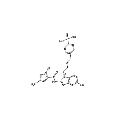 CCn1nc(C)cc1C(=O)NC1=Nc2cc(C#N)ccc2[SH]1CCOCc1ccc(P(=O)(O)O)cc1